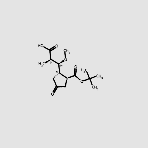 CO[C@@H]([C@H]1CC(=O)CN1C(=O)OC(C)(C)C)[C@@H](C)C(=O)O